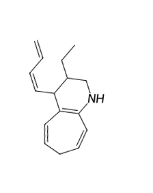 C=C/C=C\C1C2=C(C=CCC=C2)NCC1CC